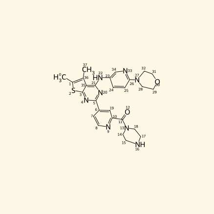 Cc1sc2nc(-c3ccnc(C(=O)N4CCNCC4)c3)nc(Nc3ccc(N4CCOCC4)nc3)c2c1C